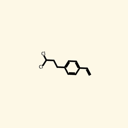 C=Cc1ccc(CCC(Cl)Cl)cc1